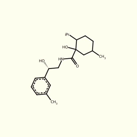 Cc1cccc([C@H](O)CNC(=O)C2(O)CC(C)CCC2C(C)C)c1